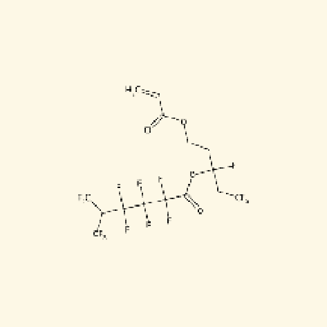 C=CC(=O)OCCC(F)(CC(F)(F)F)OC(=O)C(F)(F)C(F)(F)C(F)(F)C(C(F)(F)F)C(F)(F)F